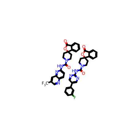 O=C1OC2(CCN(C(=O)Nc3ccc4ncc(C(F)(F)F)cc4n3)CC2)c2ccccc21.O=C1OC2(CCN(C(=O)Nc3ncc(-c4cccc(F)c4)cn3)CC2)c2ccccc21